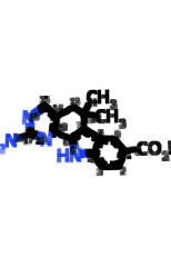 CCOC(=O)c1ccc2[nH]c3c(c2c1)C(C)(C)Cc1cnc(N)nc1-3